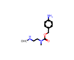 CN(CCNC=O)C(=O)OCc1ccc(N)cc1